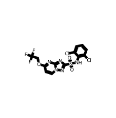 O=S(=O)(Nc1c(Cl)cccc1Cl)c1nc2nc(OCC(F)(F)F)ccn2n1